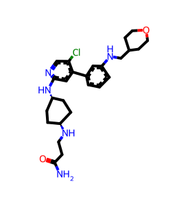 NC(=O)CCN[C@H]1CC[C@H](Nc2cc(-c3cccc(NCC4CCOCC4)c3)c(Cl)cn2)CC1